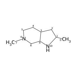 CC1CC2CCN(C)CC2N1